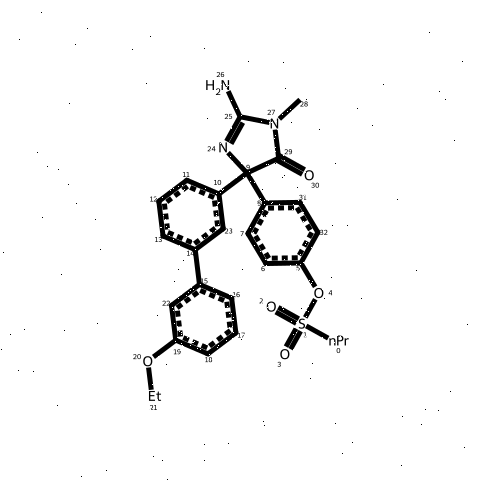 CCCS(=O)(=O)Oc1ccc(C2(c3cccc(-c4cccc(OCC)c4)c3)N=C(N)N(C)C2=O)cc1